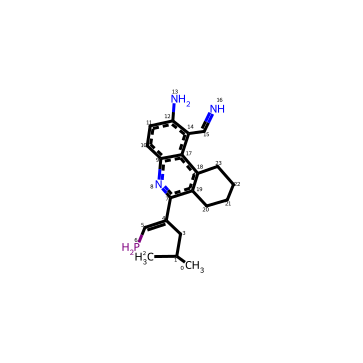 CC(C)C/C(=C\P)c1nc2ccc(N)c(C=N)c2c2c1CCCC2